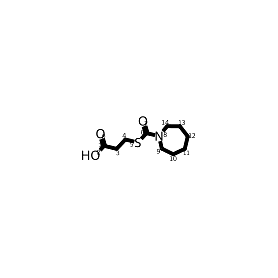 O=C(O)CCSC(=O)N1CCCCCC1